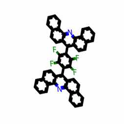 Fc1c(F)c(-c2c3ccc4ccccc4c3nc3c2ccc2ccccc23)c(F)c(F)c1-c1c2ccc3ccccc3c2nc2c1ccc1ccccc12